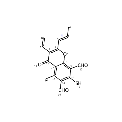 C=Cc1c(/C=C/C)oc2c(C=O)c(S)c(C=O)c(C)c2c1=O